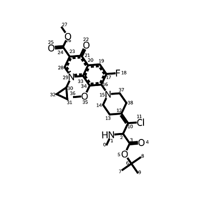 CNC(C(=O)OC(C)(C)C)C(Cl)=C1CCN(c2c(F)cc3c(=O)c(C(=O)OC)cn(C4CC4)c3c2OC)CC1